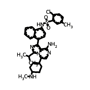 CNC1CC=C(c2cnc(N)c3c(-c4ccc(NS(=O)(=O)c5cc(C)ccc5Cl)c5ccccc45)nc(C(C)C)n23)CC1